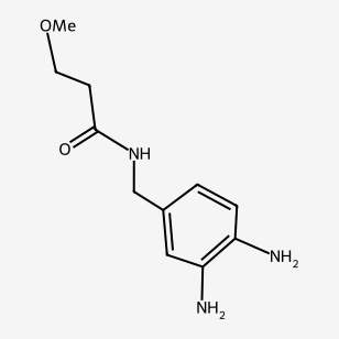 COCCC(=O)NCc1ccc(N)c(N)c1